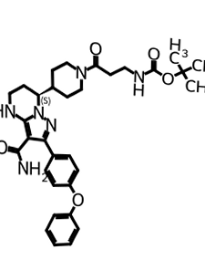 CC(C)(C)OC(=O)NCCC(=O)N1CCC([C@@H]2CCNc3c(C(N)=O)c(-c4ccc(Oc5ccccc5)cc4)nn32)CC1